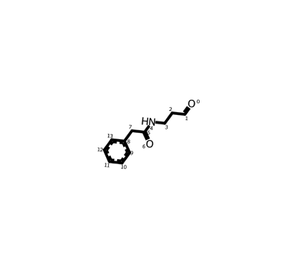 O=CCCNC(=O)Cc1ccccc1